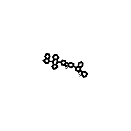 c1ccc2c(-c3c4ccccc4c(-c4ccc5c(c4)oc4cc(-c6cc7sc8ccccc8c7c7ccccc67)ccc45)c4ccccc34)cccc2c1